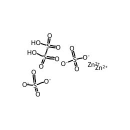 O=S(=O)(O)S(=O)(=O)O.O=S(=O)([O-])[O-].O=S(=O)([O-])[O-].[Zn+2].[Zn+2]